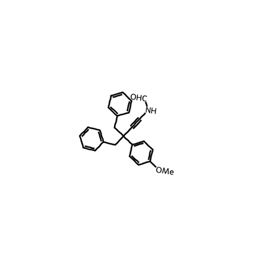 COc1ccc(C(C#CNC=O)(Cc2ccccc2)Cc2ccccc2)cc1